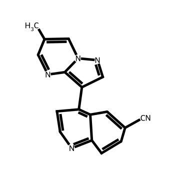 Cc1cnc2c(-c3ccnc4ccc(C#N)cc34)cnn2c1